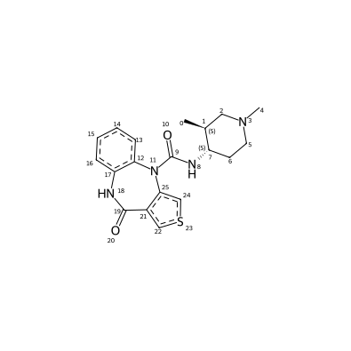 C[C@H]1CN(C)CC[C@@H]1NC(=O)N1c2ccccc2NC(=O)c2cscc21